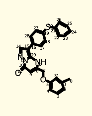 Cc1cccc(OCc2cc(=O)n3ncc(-c4ccc(Sc5ccccc5)cc4)c3[nH]2)c1